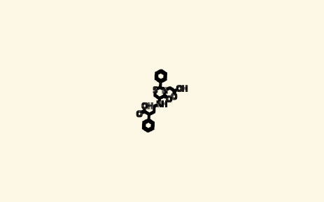 O=C(O)CN1C(=O)C(NCCC(C(=O)O)c2ccccc2)CSC1c1ccccc1